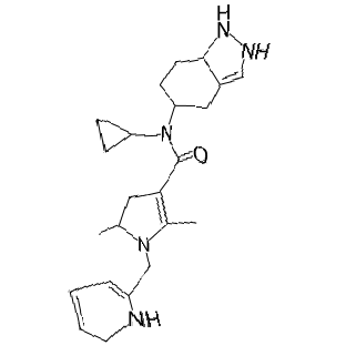 CC1=C(C(=O)N(C2CC2)C2CCC3NNC=C3C2)CC(C)N1CC1=CC=CCN1